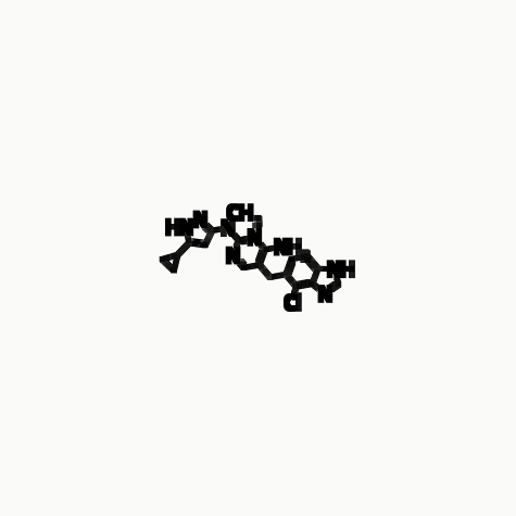 CN(c1cc(C2CC2)[nH]n1)c1ncc(Cc2ccc3[nH]cnc3c2Cl)c(N)n1